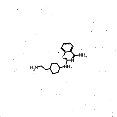 NCCC1CCC(Nc2nc(N)c3ccccc3n2)CC1